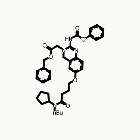 CCCCN(C(=O)CCCOc1ccc2c(c1)CN(CC(=O)OCc1ccccc1)C(NC(=O)Oc1ccccc1)=N2)C1CCCC1